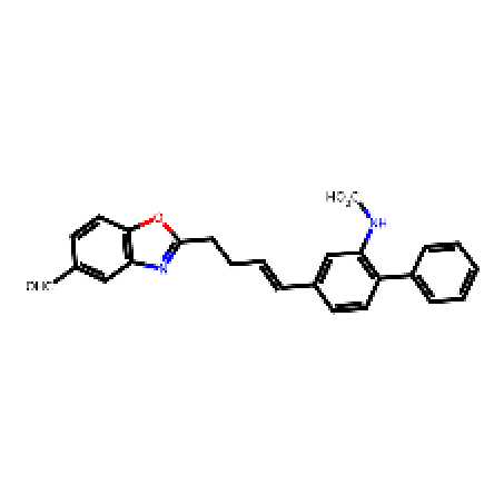 O=Cc1ccc2oc(CC/C=C/c3ccc(-c4ccccc4)c(NC(=O)O)c3)nc2c1